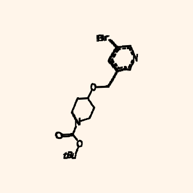 CC(C)(C)OC(=O)N1CCC(OCc2cncc(Br)c2)CC1